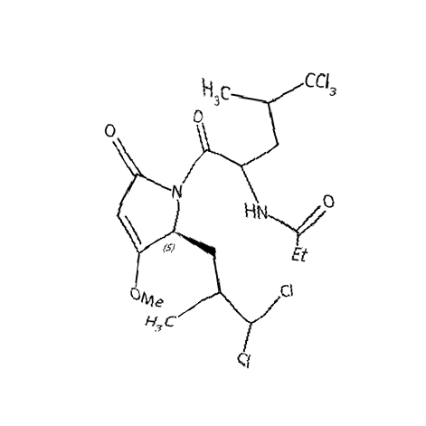 CCC(=O)NC(CC(C)C(Cl)(Cl)Cl)C(=O)N1C(=O)C=C(OC)[C@@H]1CC(C)C(Cl)Cl